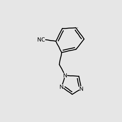 N#Cc1c[c]ccc1Cn1cncn1